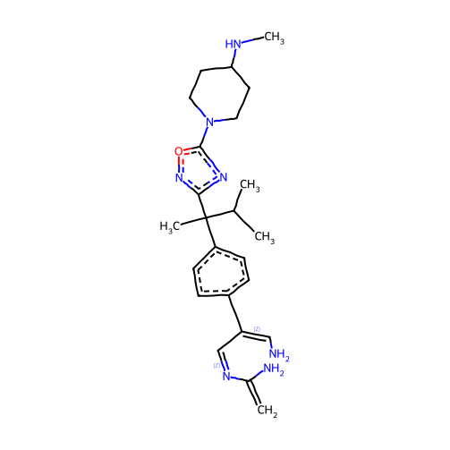 C=C(N)/N=C\C(=C/N)c1ccc(C(C)(c2noc(N3CCC(NC)CC3)n2)C(C)C)cc1